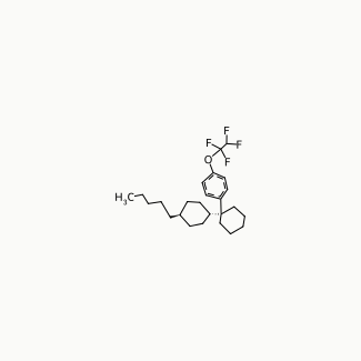 CCCCC[C@H]1CC[C@H](C2(c3ccc(OC(F)(F)C(F)F)cc3)CCCCC2)CC1